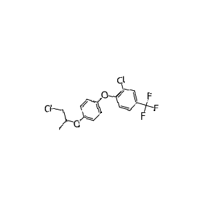 CC(CCl)Oc1ccc(Oc2ccc(C(F)(F)F)cc2Cl)cc1